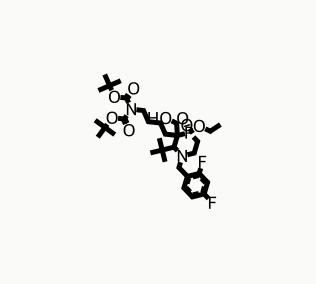 CCOP1(=O)CCN(Cc2ccc(F)cc2F)C(C(C)(C)C)C1(CCCCN(C(=O)OC(C)(C)C)C(=O)OC(C)(C)C)C(=O)O